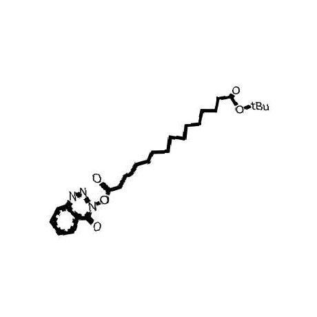 CC(C)(C)OC(=O)CCCCCCCCCCCCCCC(=O)On1nnc2ccccc2c1=O